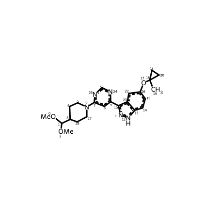 COC(OC)C1CCN(c2cc(-c3n[nH]c4ccc(OC5(C)CC5)cc34)ncn2)CC1